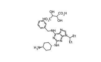 CCC(CC)n1cnc2c(NCc3ccccc3)nc(N[C@H]3CC[C@H](N)CC3)nc21.O=C(O)C(O)C(O)C(=O)O